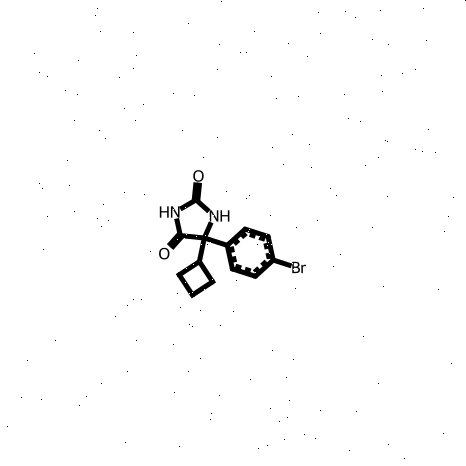 O=C1NC(=O)C(c2ccc(Br)cc2)(C2CCC2)N1